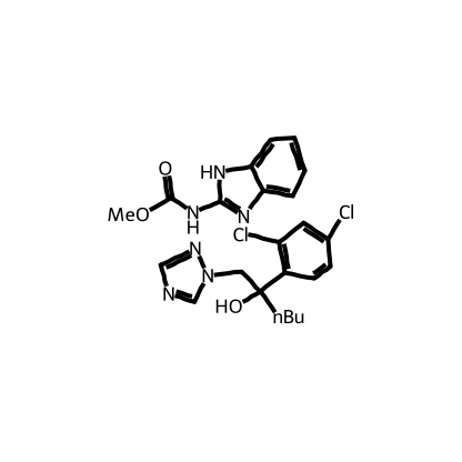 CCCCC(O)(Cn1cncn1)c1ccc(Cl)cc1Cl.COC(=O)Nc1nc2ccccc2[nH]1